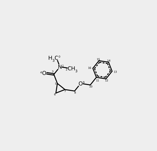 CN(C)C(=O)C1CC1COCc1ccccc1